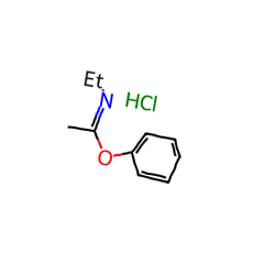 CCN=C(C)Oc1ccccc1.Cl